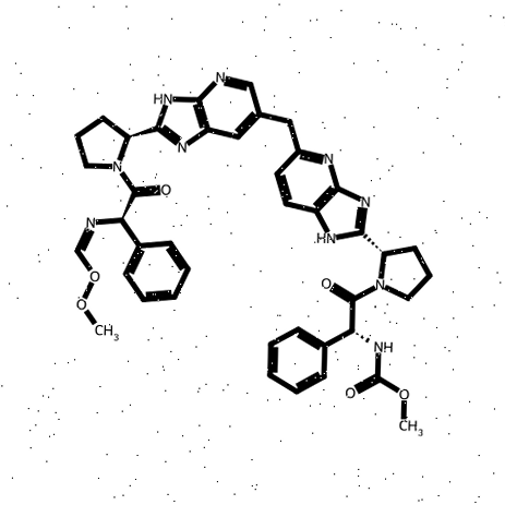 COO/C=N\[C@@H](C(=O)N1CCC[C@H]1c1nc2cc(Cc3ccc4[nH]c([C@@H]5CCCN5C(=O)[C@H](NC(=O)OC)c5ccccc5)nc4n3)cnc2[nH]1)c1ccccc1